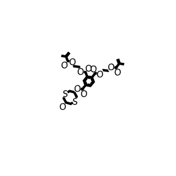 C=C(C)C(=O)OCCOC(=O)c1ccc(C(=O)OC2CSCC(=O)CSC2)cc1C(=O)OCCOC(=O)C(=C)C